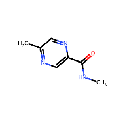 CNC(=O)c1cnc(C)cn1